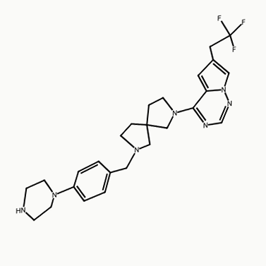 FC(F)(F)Cc1cc2c(N3CCC4(CCN(Cc5ccc(N6CCNCC6)cc5)C4)C3)ncnn2c1